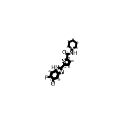 O=C(NN1CCCCC1)c1ccc(-c2nc3cc(Cl)c(F)cc3[nH]2)s1